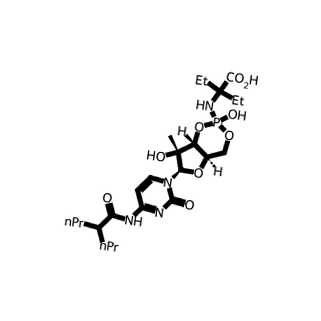 CCCC(CCC)C(=O)Nc1ccn([C@@H]2O[C@@H]3CO[P](O)(NC(CC)(CC)C(=O)O)O[C@H]3[C@@]2(C)O)c(=O)n1